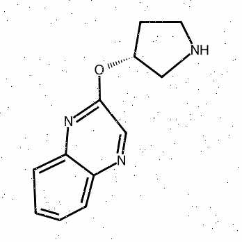 c1ccc2nc(O[C@@H]3CCNC3)cnc2c1